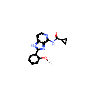 O=C(Nc1nccc2[nH]c(-c3ccccc3OC(F)(F)F)nc12)C1CC1